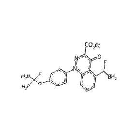 BC(F)c1cccc2c1c(=O)c(C(=O)OCC)nn2-c1ccc(OC(B)(F)P)cc1